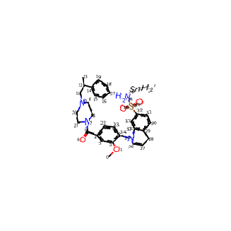 COc1cc(C(=O)N2CCN(CC(C)c3ccccc3)CC2)ccc1N1C=CCc2ccc(S(N)(=O)=O)cc21.[SnH2]